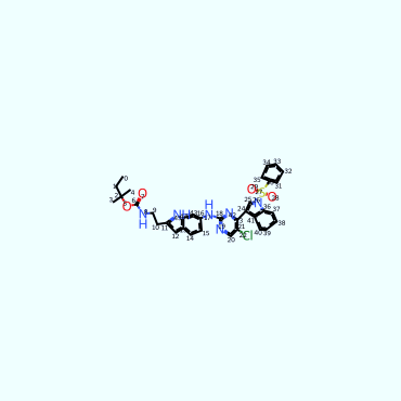 CCC(C)(C)OC(=O)NCCc1cc2ccc(Nc3ncc(Cl)c(-c4cn(S(=O)(=O)c5ccccc5)c5ccccc45)n3)cc2[nH]1